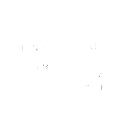 Nc1ccc(Oc2c(F)cc(C(F)(F)F)cc2Cl)cc1N